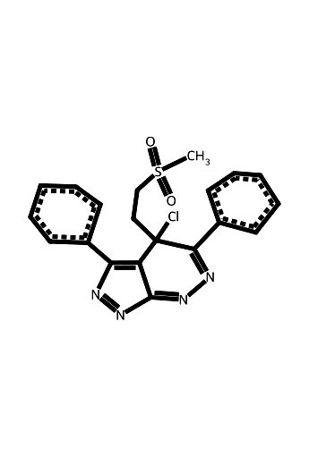 CS(=O)(=O)CCC1(Cl)C(c2ccccc2)=NN=C2N=NC(c3ccccc3)=C21